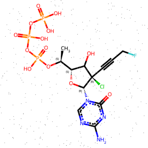 C[C@H](OP(=O)(O)OP(=O)(O)OP(=O)(O)O)[C@H]1O[C@@H](n2cnc(N)nc2=O)[C@@](Cl)(C#CCF)C1O